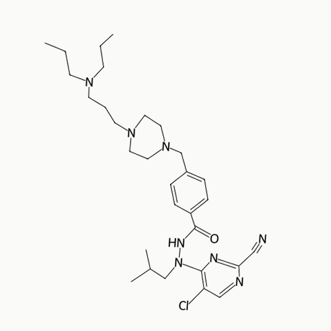 CCCN(CCC)CCCN1CCN(Cc2ccc(C(=O)NN(CC(C)C)c3nc(C#N)ncc3Cl)cc2)CC1